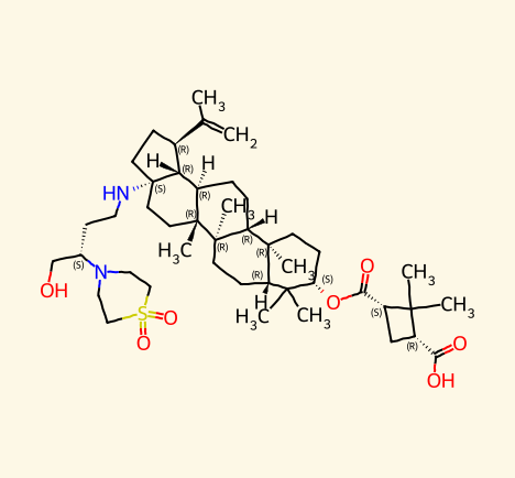 C=C(C)[C@@H]1CC[C@]2(NCC[C@@H](CO)N3CCS(=O)(=O)CC3)CC[C@]3(C)[C@H](CC[C@@H]4[C@@]5(C)CC[C@H](OC(=O)[C@H]6C[C@@H](C(=O)O)C6(C)C)C(C)(C)[C@@H]5CC[C@]43C)[C@@H]12